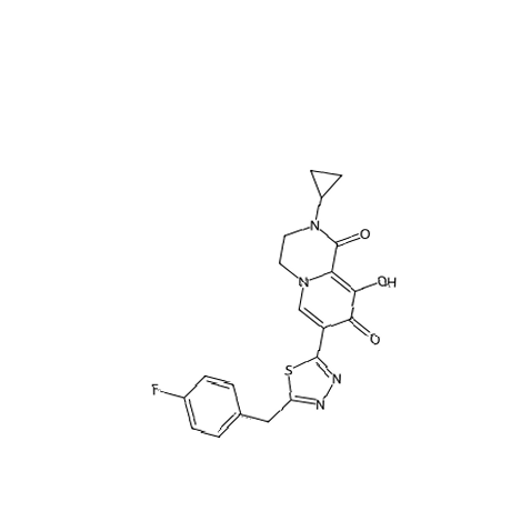 O=C1c2c(O)c(=O)c(-c3nnc(Cc4ccc(F)cc4)s3)cn2CCN1C1CC1